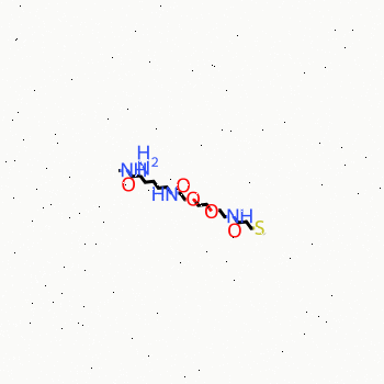 CNC(=O)C(N)CCCCNC(=O)COCCOCCNC(=O)CCSC